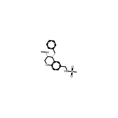 CN[C@H]1COc2ccc(CNS(C)(=O)=O)cc2[C@H]1Cc1ccccc1